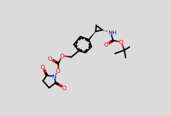 CC(C)(C)OC(=O)N[C@H]1C[C@@H]1c1ccc(COC(=O)ON2C(=O)CCC2=O)cc1